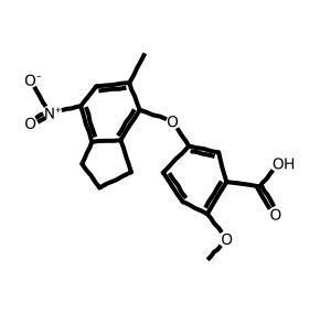 COc1ccc(Oc2c(C)cc([N+](=O)[O-])c3c2CCC3)cc1C(=O)O